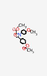 CCOC(=O)C1OCC(c2ccc(OC(C)=O)cc2)N1c1ccc(OC)cc1